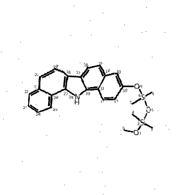 CO[Si](C)(C)O[Si](C)(C)Oc1ccc2c(ccc3c4ccc5ccccc5c4[nH]c23)c1